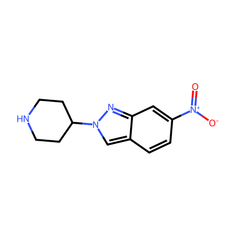 O=[N+]([O-])c1ccc2cn(C3CCNCC3)nc2c1